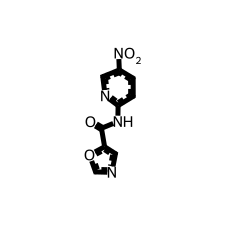 O=C(Nc1ccc([N+](=O)[O-])cn1)c1cnco1